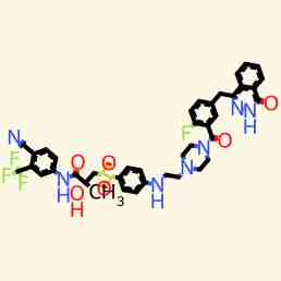 CC(O)(CS(=O)(=O)c1ccc(NCCN2CCN(C(=O)c3cc(Cc4n[nH]c(=O)c5ccccc45)ccc3F)CC2)cc1)C(=O)Nc1ccc(C#N)c(C(F)(F)F)c1